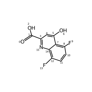 O=C(O)c1cc(O)c2c(F)ccc(F)c2n1